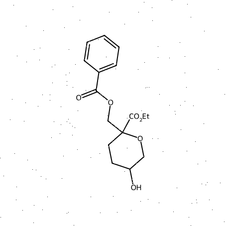 CCOC(=O)C1(COC(=O)c2ccccc2)CCC(O)CO1